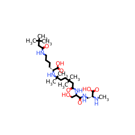 CN[C@H](CNC(=O)C(CO)NC(=O)CC(C)(C)CCC(C)(C)N[C@H](CCCCNC(=O)CC(C)(C)C)C(=O)O)C(=O)O